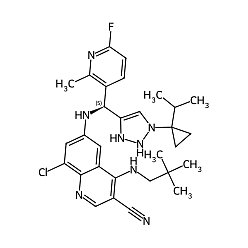 Cc1nc(F)ccc1[C@H](Nc1cc(Cl)c2ncc(C#N)c(NCC(C)(C)C)c2c1)C1=CN(C2(C(C)C)CC2)NN1